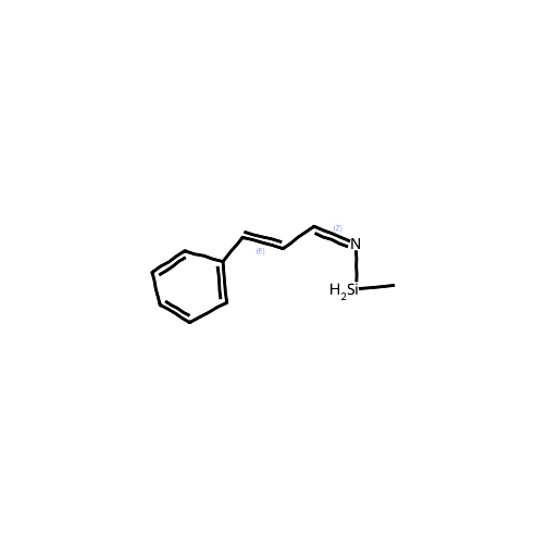 C[SiH2]/N=C\C=C\c1ccccc1